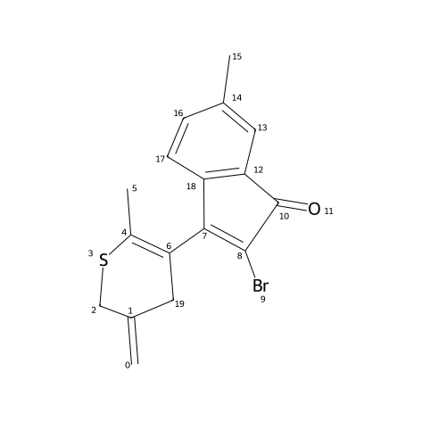 C=C1CSC(C)=C(C2=C(Br)C(=O)c3cc(C)ccc32)C1